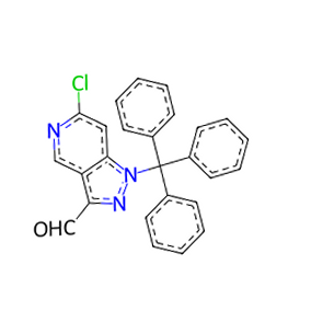 O=Cc1nn(C(c2ccccc2)(c2ccccc2)c2ccccc2)c2cc(Cl)ncc12